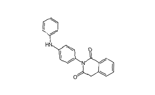 O=C1Cc2ccccc2C(=O)N1c1ccc(Nc2ccccc2)cc1